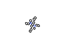 c1ccc(N(c2ccc3ccccc3c2)c2c3ccc(-c4ccc5ccccc5c4)cc3c(N(c3ccccc3)c3ccc4ccccc4c3)c3ccc(-c4ccc5ccccc5c4)cc23)cc1